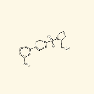 Nc1cccc(-c2ccc(S(=O)(=O)N3CCCC3CO)cc2)c1